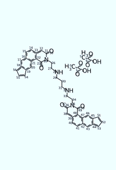 CS(=O)(=O)O.CS(=O)(=O)O.O=C1C=c2ccc3cc4c(cc3c2C(=O)N1CCNCCCNCCN1C(=O)C=c2ccc3cc5c(cc3c2C1=O)C=CC=5)C=CC=4